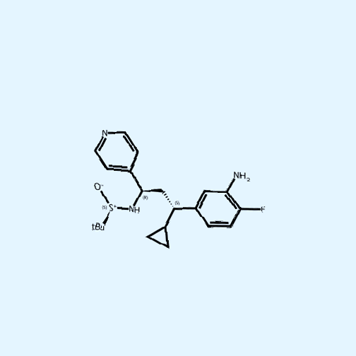 CC(C)(C)[S@@+]([O-])N[C@H](C[C@H](c1ccc(F)c(N)c1)C1CC1)c1ccncc1